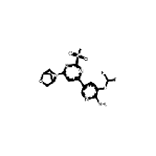 CS(=O)(=O)c1nc(-c2cnc(N)c(OC(F)F)c2)cc(N2CC3CC2CO3)n1